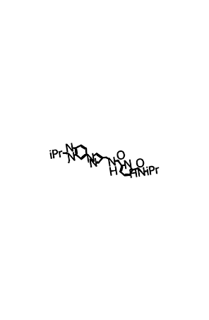 CC(C)NC(=O)c1cccc(C(=O)NCc2cnn(-c3ccc4nc(C(C)C)n(C)c4c3)c2)n1